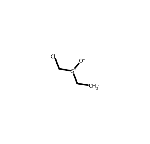 [CH2]C[S+]([O-])CCl